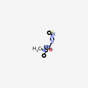 CCCN1C(c2ccccc2)=CC(C(=O)NCCCN2CCN(c3nsc4ccccc34)CC2)C1C